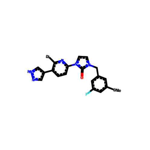 CCc1nc(-n2ccn(Cc3cc(F)cc(OC)c3)c2=O)ccc1-c1cn[nH]c1